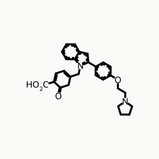 O=C(O)C1=CC=C(Cn2c(-c3ccc(OCCN4CCCC4)cc3)cc3ccccc32)CC1=O